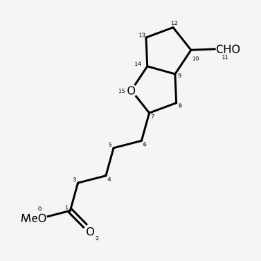 COC(=O)CCCCC1CC2C(C=O)CCC2O1